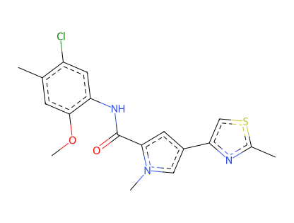 COc1cc(C)c(Cl)cc1NC(=O)c1cc(-c2csc(C)n2)cn1C